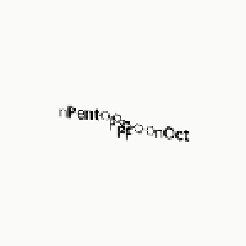 CCCCCCCCC1CCC(C2CCC(c3cc4c(c(F)c3F)-c3c-4ccc(C4CCC(CCCCC)CC4)c3F)CC2)CC1